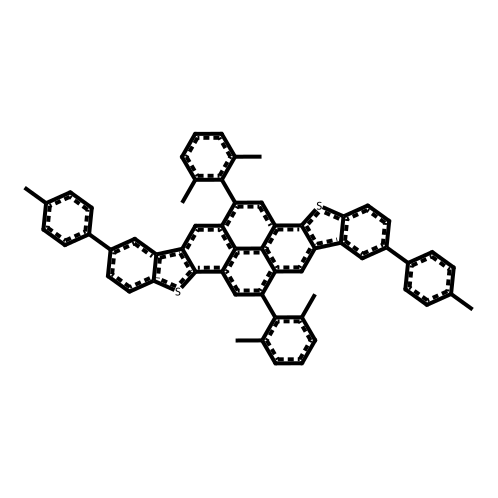 Cc1ccc(-c2ccc3sc4c(cc5c(-c6c(C)cccc6C)cc6c7sc8ccc(-c9ccc(C)cc9)cc8c7cc7c(-c8c(C)cccc8C)cc4c5c76)c3c2)cc1